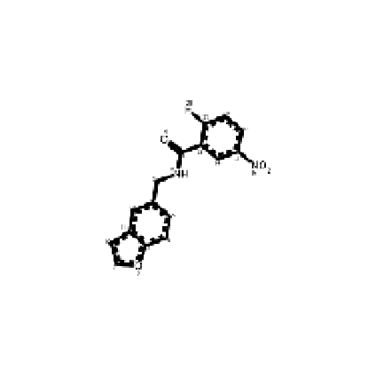 O=C(NCc1ccc2occc2c1)c1cc([N+](=O)[O-])ccc1F